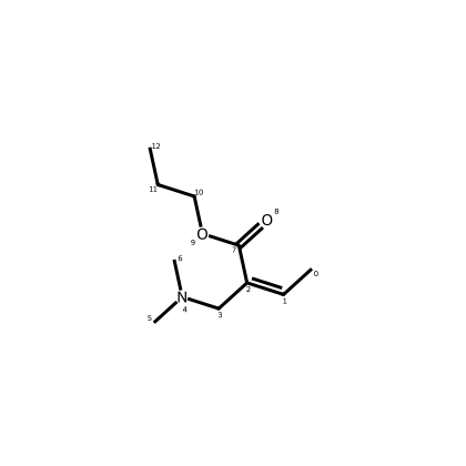 CC=C(CN(C)C)C(=O)OCCC